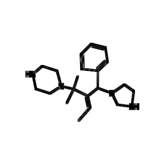 CC=C(C(c1ccccc1)N1CCNC1)C(C)(C)N1CCNCC1